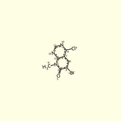 Cn1c(=O)c(Br)cc2c(Cl)ncnc21